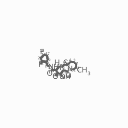 C[C@@H]1CCC[C@@]2(C)Cn3cc(C(=O)NCc4ccc(F)cc4F)c(=O)c(O)c3C(=O)N2C1